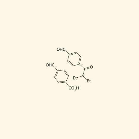 CCN(CC)C(=O)c1ccc(C=O)cc1.O=Cc1ccc(C(=O)O)cc1